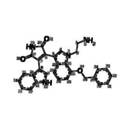 NCCn1cc(C2=C(c3c[nH]c4ccccc34)C(=O)NC2=O)c2cccc(OCc3ccccc3)c21